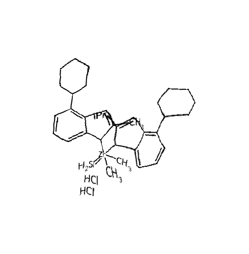 CC1=Cc2c(C3CCCCC3)cccc2[CH]1[Zr]([CH3])([CH3])(=[SiH2])[CH]1C(C(C)C)=Cc2c(C3CCCCC3)cccc21.Cl.Cl